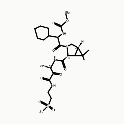 CCC[C@@H](NC(=O)[C@@H]1C2[C@H](CN1C(=O)C(NC(=O)OC(C)(C)C)C1CCCCC1)C2(C)C)C(=O)C(=O)NCCS(=O)(=O)C(C)(C)C